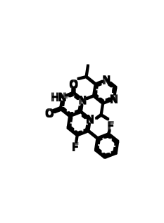 CC(C)c1ncnc(C(C)C)c1-n1c(=O)[nH]c(=O)c2cc(F)c(-c3ccccc3F)nc21